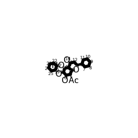 CC(=O)Oc1cc2oc(-c3ccccc3)cc(=O)c2c(O)c1Oc1ccccc1